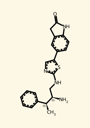 C[C@@H](c1ccccc1)[C@H](N)CNc1ncc(-c2ccc3c(c2)CC(=O)N3)s1